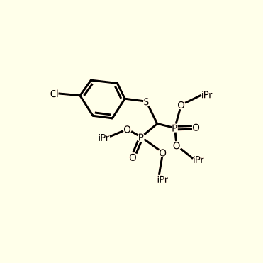 CC(C)OP(=O)(OC(C)C)C(Sc1ccc(Cl)cc1)P(=O)(OC(C)C)OC(C)C